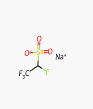 O=S(=O)([O-])C(F)C(F)(F)F.[Na+]